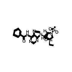 CC[C@@]12CN(S(C)(=O)=O)[C@@H]([C@H](n3cnc4c(NC(=O)c5ccccc5)ncnc43)O1)[C@@H]2C